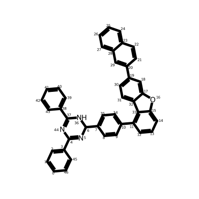 c1ccc(C2=NC(c3ccc(-c4cccc5oc6cc(-c7ccc8ccccc8c7)ccc6c45)cc3)NC(c3ccccc3)=N2)cc1